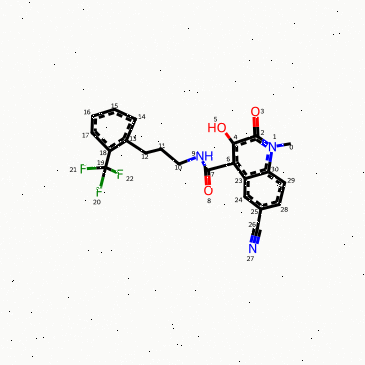 Cn1c(=O)c(O)c(C(=O)NCCCc2ccccc2C(F)(F)F)c2cc(C#N)ccc21